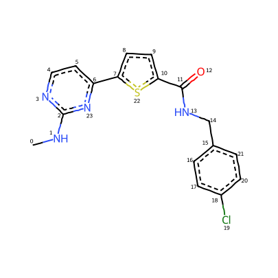 CNc1nccc(-c2ccc(C(=O)NCc3ccc(Cl)cc3)s2)n1